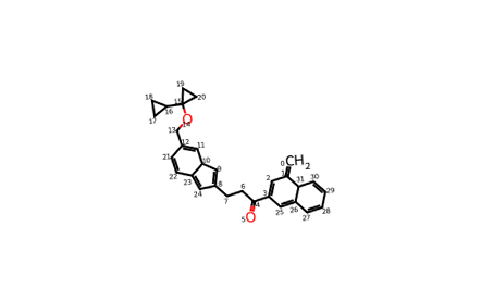 C=C1C=C(C(=O)CCC2=CC3C=C(COC4(C5CC5)CC4)C=CC3=C2)C=C2C=CC=CC12